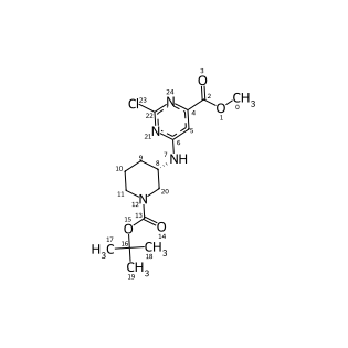 COC(=O)c1cc(N[C@H]2CCCN(C(=O)OC(C)(C)C)C2)nc(Cl)n1